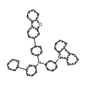 c1ccc(-c2cccc(N(c3ccc(-c4ccc5c(c4)oc4ccccc45)cc3)c3cccc(-n4c5ccccc5c5ccccc54)c3)c2)cc1